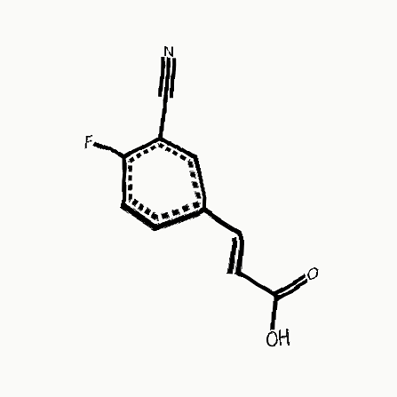 N#Cc1cc(C=CC(=O)O)ccc1F